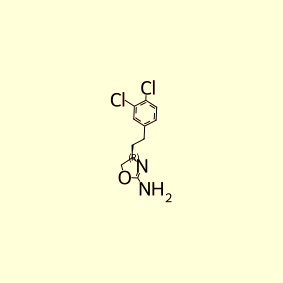 NC1=N[C@H](CCc2ccc(Cl)c(Cl)c2)CO1